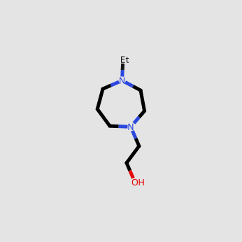 CCN1CCCN(CCO)CC1